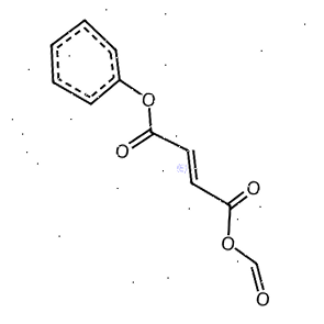 O=COC(=O)/C=C/C(=O)Oc1ccccc1